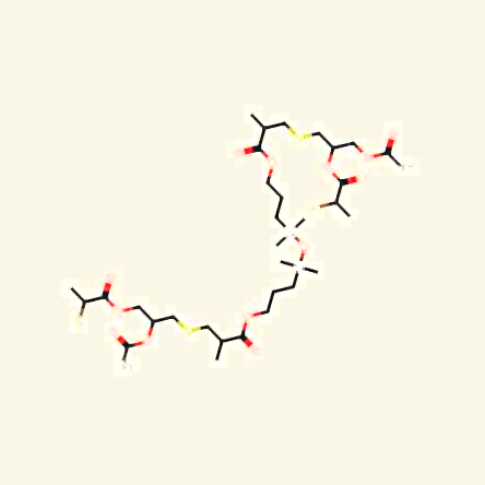 CC(C)C(=O)OCC(CSCC(C)C(=O)OCCC[Si](C)(C)O[Si](C)(C)CCCOC(=O)C(C)CSCC(COC(=O)C(C)Br)OC(=O)C(C)C)OC(=O)C(C)Br